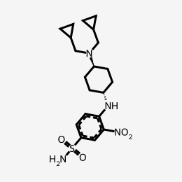 NS(=O)(=O)c1ccc(N[C@H]2CC[C@H](N(CC3CC3)CC3CC3)CC2)c([N+](=O)[O-])c1